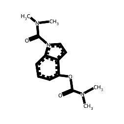 CN(C)C(=O)Oc1cccc2c1ccn2C(=O)N(C)C